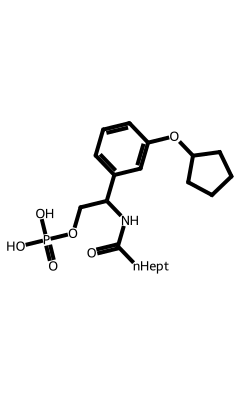 CCCCCCCC(=O)NC(COP(=O)(O)O)c1cccc(OC2CCCC2)c1